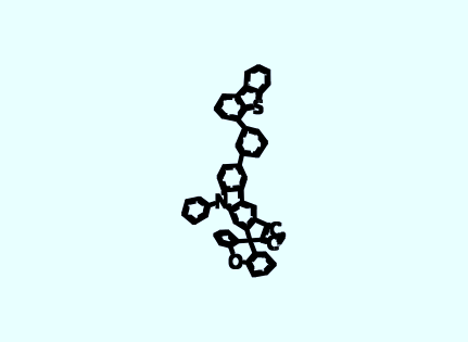 c1ccc(-n2c3ccc(-c4cccc(-c5cccc6c5sc5ccccc56)c4)cc3c3cc4c(cc32)C2(c3ccccc3Oc3ccccc32)c2ccccc2-4)cc1